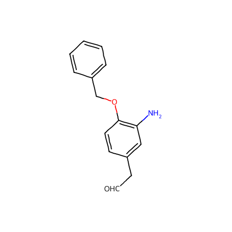 Nc1cc(CC=O)ccc1OCc1ccccc1